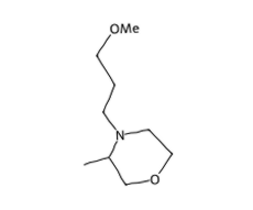 COCCCN1CCOCC1C